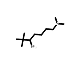 CN(C)CCCCC(N)C(C)(C)C